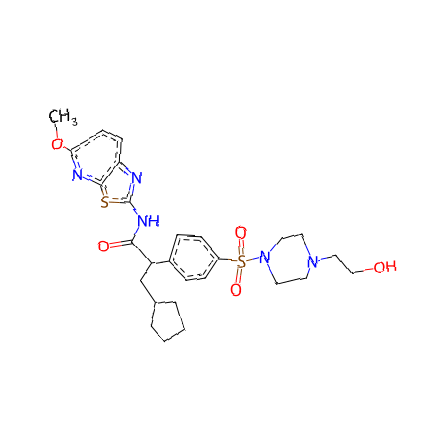 COc1ccc2nc(NC(=O)C(CC3CCCC3)c3ccc(S(=O)(=O)N4CCN(CCO)CC4)cc3)sc2n1